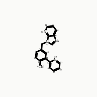 N#Cc1ccc(Cn2cnc3cccnc32)cc1-c1cc[c]cn1